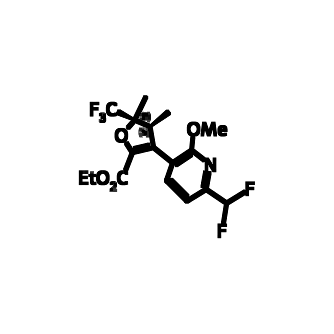 CCOC(=O)C1=C(c2ccc(C(F)F)nc2OC)[C@H](C)[C@](C)(C(F)(F)F)O1